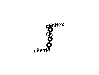 CCCCCCOc1ccc(C(=O)Oc2ccc(-c3ccc(OCCCCC)cc3)cc2)cc1F